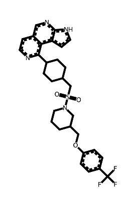 O=S(=O)(CC1CCC(c2nccc3cnc4[nH]ccc4c23)CC1)N1CCCC(COc2ccc(C(F)(F)F)cc2)C1